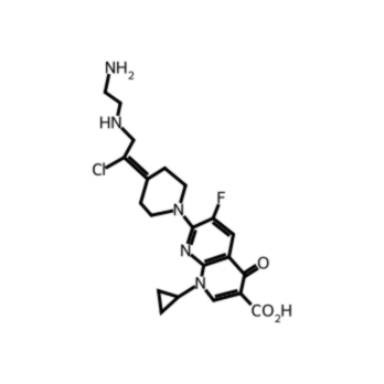 NCCNCC(Cl)=C1CCN(c2nc3c(cc2F)c(=O)c(C(=O)O)cn3C2CC2)CC1